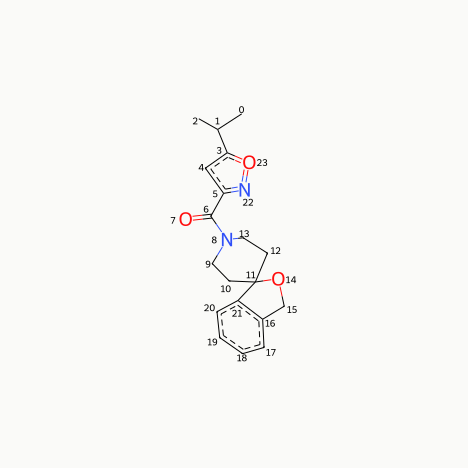 CC(C)c1cc(C(=O)N2CCC3(CC2)OCc2ccccc23)no1